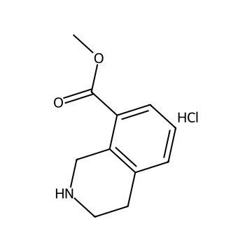 COC(=O)c1cccc2c1CNCC2.Cl